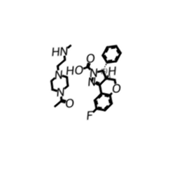 CNCCN1CCN(C(C)=O)CC1.O=C(O)N1N=C2c3cc(F)ccc3OC[C@H]2[C@H]1c1ccccc1